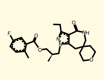 CCc1nn(C[C@@H](C)COC(=O)c2cc(F)ccc2C)c2c1C(=O)NCC1(CCOCC1)C2